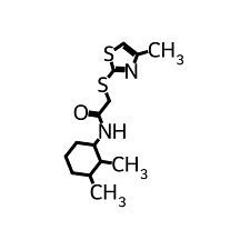 Cc1csc(SCC(=O)NC2CCCC(C)C2C)n1